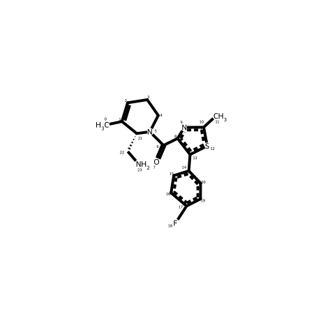 CC1=CCCN(C(=O)c2nc(C)sc2-c2ccc(F)cc2)[C@@H]1CN